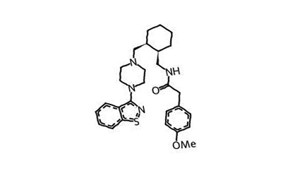 COc1ccc(CC(=O)NC[C@@H]2CCCC[C@@H]2CN2CCN(c3nsc4ccccc34)CC2)cc1